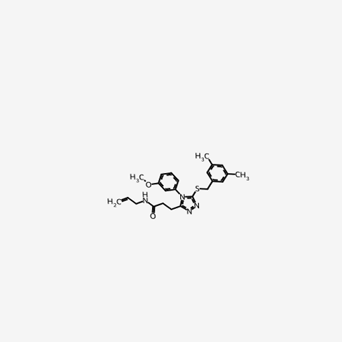 C=CCNC(=O)CCc1nnc(SCc2cc(C)cc(C)c2)n1-c1cccc(OC)c1